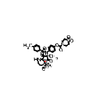 Cc1ccc(S(=O)(=O)N(c2ccc(OC(=O)N3CCS(=O)(=O)CC3)cc2)[C@@](C)(C(=O)OC(C)(C)C)C(=O)C2CS(=O)(=O)CCN2)cc1